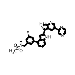 CS(=O)(=O)NCc1cc(F)cc(-c2cccc3[nH]c(-c4n[nH]c5ncc(-c6cnccn6)cc45)cc23)c1